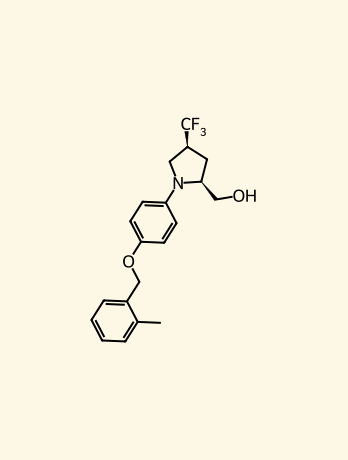 Cc1ccccc1COc1ccc(N2C[C@@H](C(F)(F)F)C[C@H]2CO)cc1